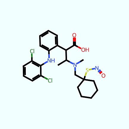 CC(C(C(=O)O)c1ccccc1Nc1c(Cl)cccc1Cl)N(C)CC1(SN=O)CCCCC1